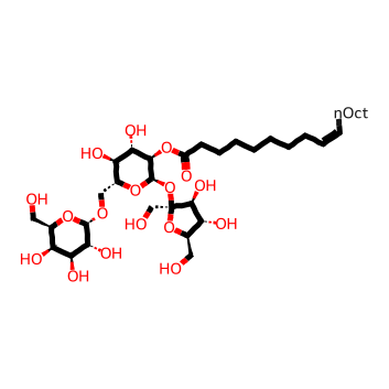 CCCCCCCC/C=C\CCCCCCCC(=O)O[C@H]1[C@@H](O[C@]2(CO)O[C@H](CO)[C@@H](O)[C@@H]2O)O[C@H](CO[C@H]2O[C@H](CO)[C@H](O)[C@H](O)[C@H]2O)[C@@H](O)[C@@H]1O